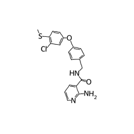 CSc1ccc(Oc2ccc(CNC(=O)c3cccnc3N)cc2)cc1Cl